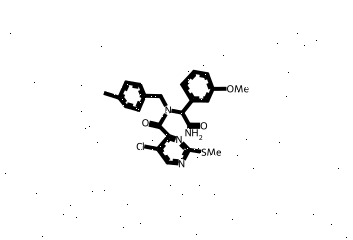 COc1cccc(C(C(N)=O)N(Cc2ccc(C)cc2)C(=O)c2nc(SC)ncc2Cl)c1